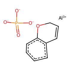 C1=Cc2ccccc2OC1.O=P([O-])([O-])[O-].[Al+3]